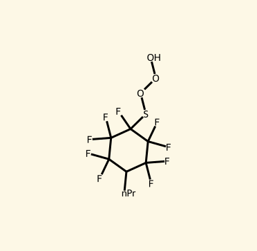 CCCC1C(F)(F)C(F)(F)C(F)(SOOO)C(F)(F)C1(F)F